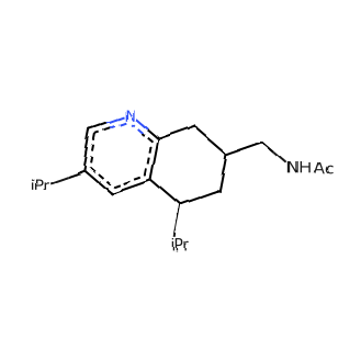 CC(=O)NCC1Cc2ncc(C(C)C)cc2C(C(C)C)C1